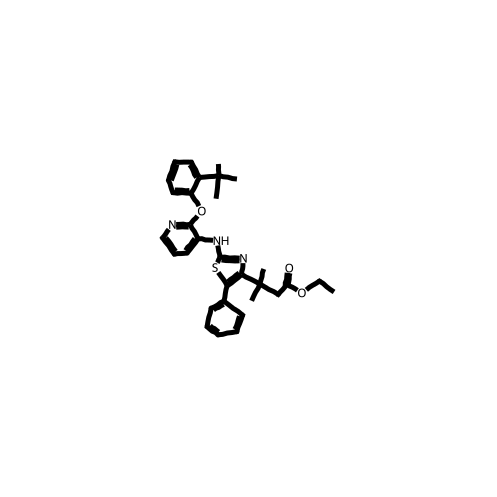 CCOC(=O)CC(C)(C)c1nc(Nc2cccnc2Oc2ccccc2C(C)(C)C)sc1-c1ccccc1